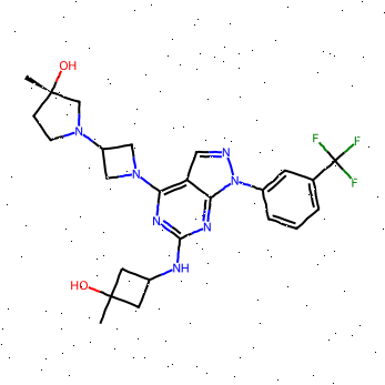 CC1(O)CC(Nc2nc(N3CC(N4CC[C@](C)(O)C4)C3)c3cnn(-c4cccc(C(F)(F)F)c4)c3n2)C1